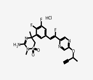 C#CC(C)Oc1cnc(/C(F)=C/c2cc(F)c(F)c(C3(C)CS(=O)(=O)N(C)C(N)=N3)c2)cn1.Cl